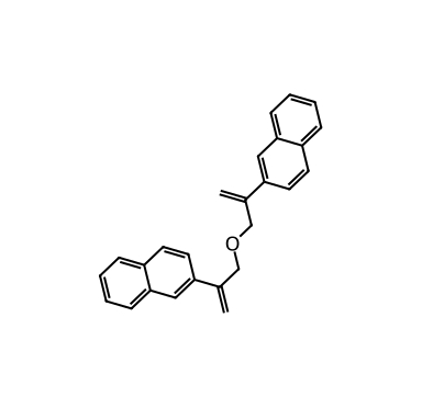 C=C(COCC(=C)c1ccc2ccccc2c1)c1ccc2ccccc2c1